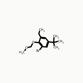 CCc1cc(C(C)(C)C)cc(Br)c1OCOC